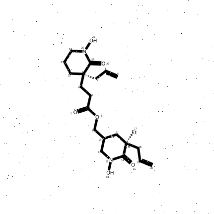 C=CC[C@]1(CCC(=O)OCC2CN(O)C(=O)[C@](CC)(CC=C)C2)CCCN(O)C1=O